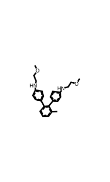 COCCNc1ccc(-c2cccc(C)c2-c2ccc(NCCOC)cc2)cc1